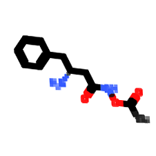 CC(C)(C)C(=O)ONC(=O)C[C@H](N)Cc1ccccc1